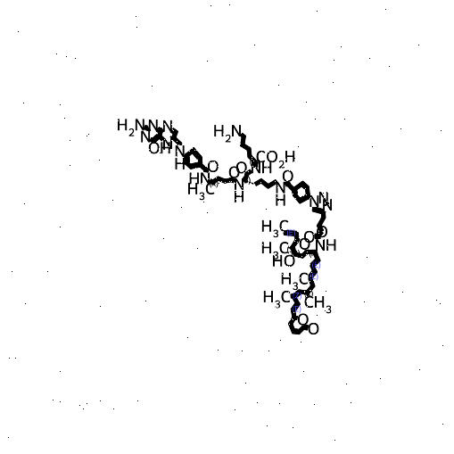 C/C=C/C1OC([C@@H](/C=C/C=C(\C)C[C@@H](C)/C=C(C)\C=C\C2CC=CC(=O)O2)NC(=O)OCCc2cn(-c3ccc(C(=O)NCCCC[C@H](NC(=O)CC[C@@H](C)NC(=O)c4ccc(NCc5cnc6nc(N)nc(O)c6n5)cc4)C(=O)N[C@H](CCCCN)C(=O)O)cc3)nn2)C[C@@H](O)[C@@H]1C